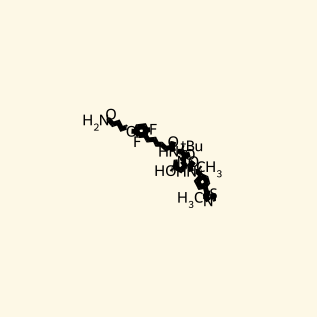 Cc1ncsc1-c1ccc([C@H](C)NC(=O)[C@@H]2C[C@@H](O)CN2C(=O)[C@@H](NC(=O)CCCCCc2c(F)ccc(OCCCCC(N)=O)c2F)C(C)(C)C)cc1